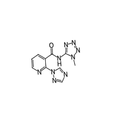 Cn1nnnc1NC(=O)c1cccnc1-n1cncn1